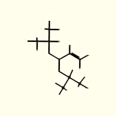 FC(F)=C(F)C(CC(F)(C(F)(F)F)C(F)(F)F)CC(F)(C(F)(F)F)C(F)(F)F